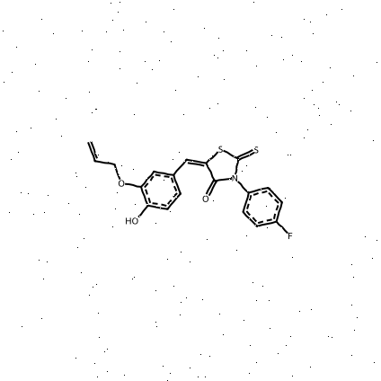 C=CCOc1cc(C=C2SC(=S)N(c3ccc(F)cc3)C2=O)ccc1O